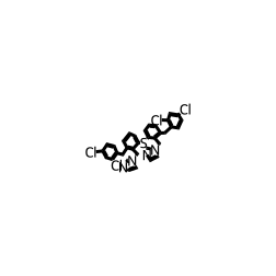 Clc1ccc(Cc2cccc(Sc3cccc(Cc4ccc(Cl)cc4Cl)c3Cn3ccnc3)c2Cn2ccnc2)c(Cl)c1